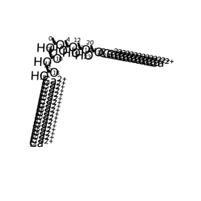 CC(=O)O.CC(=O)O.CC(=O)O.CC(=O)O.CC(=O)O.CC(=O)O.[Ca+2].[Ca+2].[Ca+2].[Ca+2].[Ca+2].[Ca+2].[Ca+2].[Ca+2].[Ca+2].[Ca+2].[Ca+2].[Ca+2].[Ca+2].[Ca+2].[Ca+2].[Ca+2].[Ca+2].[Ca+2].[Ca+2].[Ca+2].[Ca+2].[Ca+2].[Ca+2].[Ca+2].[Ca+2].[Ca+2].[Ca+2].[Ca+2].[Ca+2].[Ca+2].[Ca+2]